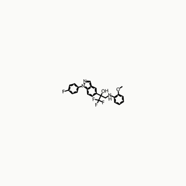 COc1ccccc1NCC(O)(c1ccc2c(cnn2-c2ccc(F)cc2)c1)C(F)(F)F